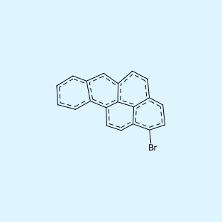 Brc1ccc2ccc3cc4ccccc4c4ccc1c2c34